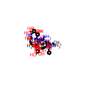 CC(C)C[C@H](NC(=O)OCc1ccccc1)C(=O)N[C@H]1C(=O)N[C@@H](CC(N)=O)C(=O)N[C@H]2C(=O)NC3C(=O)N[C@H](C(=O)N[C@H](C(=O)O)c4cc(O)cc(O)c4-c4cc3ccc4O)[C@H](O)c3ccc(c(Cl)c3)Oc3cc2cc(c3OC2O[C@H](CO)[C@@H](O)[C@H](O)C2O[C@H]2C[C@](C)(NC(=O)OC(C)(C)C)[C@H](O)[C@H](C)O2)Oc2ccc(cc2Cl)[C@H]1O